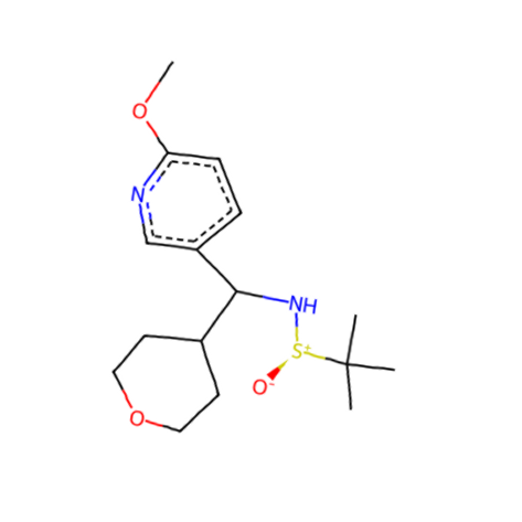 COc1ccc(C(N[S@+]([O-])C(C)(C)C)C2CCOCC2)cn1